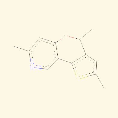 Cc1cc2c(cn1)-c1sc(C)cc1C(C)O2